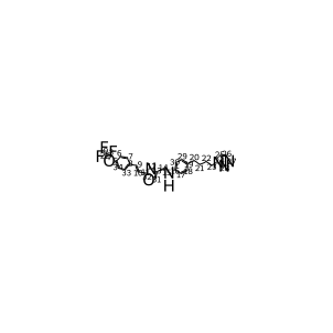 FC(F)(F)Oc1ccc(/C=C/c2nc(CNc3ccc(CCCCn4ccnn4)cc3)co2)cc1